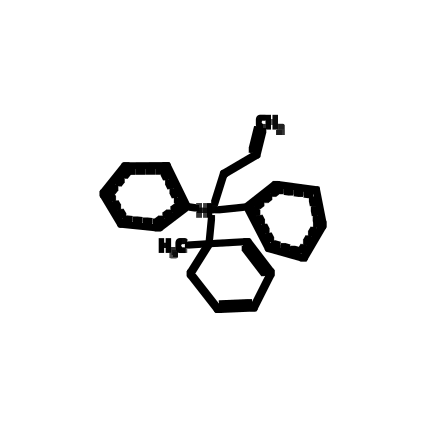 C=CC[PH](c1ccccc1)(c1ccccc1)C1(C)C=CC=CC1